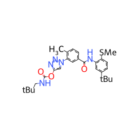 CSc1ccc(C(C)(C)C)cc1NC(=O)c1ccc(C)c(-n2cc(OC(=O)NCC(C)(C)C)nn2)c1